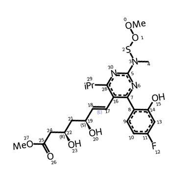 COOSN(C)c1nc(-c2ccc(F)cc2O)c(/C=C/[C@@H](O)C[C@@H](O)CC(=O)OC)c(C(C)C)n1